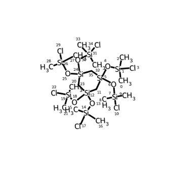 C[Si](C)(Cl)O[Si]1(O[Si](C)(C)Cl)C[Si](O[Si](C)(C)Cl)(O[Si](C)(C)Cl)C[Si](O[Si](C)(C)Cl)(O[Si](C)(C)Cl)C1